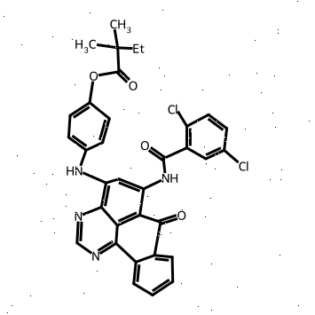 CCC(C)(C)C(=O)Oc1ccc(Nc2cc(NC(=O)c3cc(Cl)ccc3Cl)c3c4c(ncnc24)-c2ccccc2C3=O)cc1